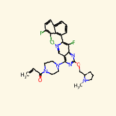 C=CC(=O)N1CCN(c2nc(OCC3CCCN3C)nc3c(F)c(-c4cccc5ccc(F)c(Cl)c45)ncc23)CC1